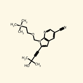 CC(C)(O)C#Cc1cc2cc(C#N)cnc2n1COCC[Si](C)(C)C